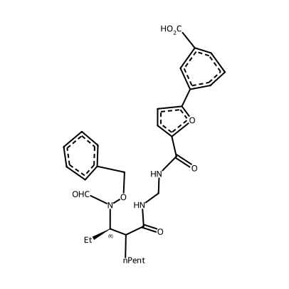 CCCCCC(C(=O)NCNC(=O)c1ccc(-c2cccc(C(=O)O)c2)o1)[C@@H](CC)N(C=O)OCc1ccccc1